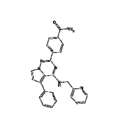 NC(=O)c1ccc(-c2nc(NCc3ccccn3)c3c(-c4ccccc4)ccn3n2)cc1